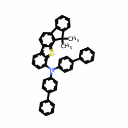 CC1(C)c2ccccc2-c2ccc3c(sc4c(N(c5ccc(-c6ccccc6)cc5)c5ccc(-c6ccccc6)cc5)cccc43)c21